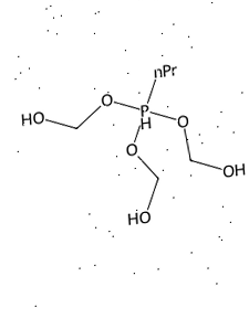 CCC[PH](OCO)(OCO)OCO